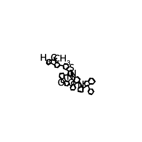 CC1(C)c2ccccc2-c2ccc(-c3ccc4sc5nc(-c6ccc(-n7c8ccccc8c8c(-c9ccccc9)c9ccccc9cc87)c7c6oc6ccccc67)nc(-c6cccc7oc8ccccc8c67)c5c4c3)cc21